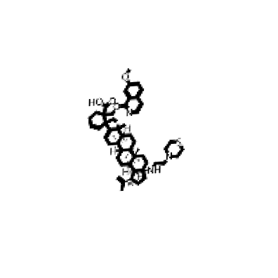 C=C(C)[C@@H]1CC[C@]2(NCCN3CCSCC3)CC[C@]3(C)[C@H](CC[C@@H]4[C@@]5(C)CC=C(C6(CC)C=CCCC6(COc6nccc7ccc(OC)cc67)C(=O)O)C(C)(C)[C@@H]5CC[C@]43C)[C@@H]12